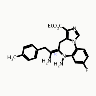 CCOC(=O)c1ncn2c1C/C(=C(/N)Cc1ccc(C)cc1)N(N)c1cc(F)ccc1-2